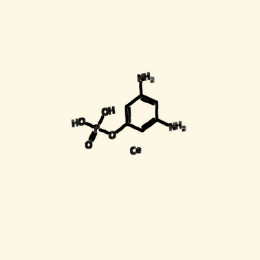 Nc1cc(N)cc(OP(=O)(O)O)c1.[Ce]